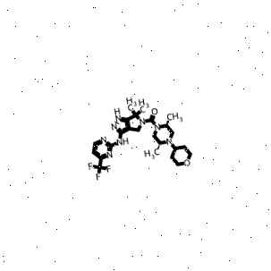 C[C@@H]1CN(C(=O)N2Cc3c(Nc4nccc(C(F)(F)F)n4)n[nH]c3C2(C)C)[C@@H](C)CN1C1CCOCC1